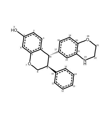 Oc1ccc2c(c1)OC[C@H](c1ccccc1)[C@H]2c1ccc2c(c1)NCCO2